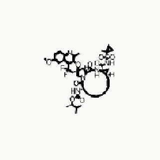 COc1ccc2nc(C)c3c(c2c1)C(F)(F)C[C@]1(C[C@H]2C(=O)N[C@]4(C(=O)NS(=O)(=O)C5(C)CC5)C[C@H]4/C=C\CCCCC[C@H](NC(=O)O[C@H](C)C(C)C)C(=O)N2C1)O3